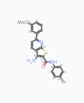 COc1cccc(-c2ccc3c(N)c(C(=O)Nc4ccc(Br)cc4)sc3n2)c1